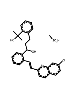 CC(C)(O)c1ccccc1CCC(O)c1ccccc1C=Cc1ccc2ccc(Cl)cc2n1.CS(=O)(=O)O